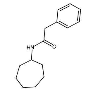 O=C(Cc1ccccc1)NC1CCCCCC1